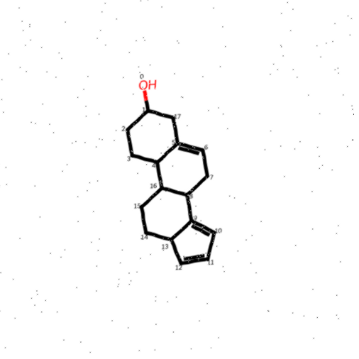 OC1CCC2C(=CCC3C4=CC=CC4CCC23)C1